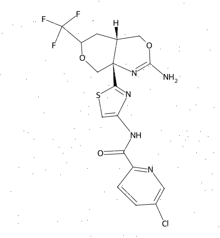 NC1=N[C@]2(c3nc(NC(=O)c4ccc(Cl)cn4)cs3)COC(C(F)(F)F)C[C@@H]2CO1